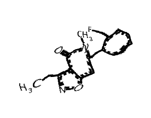 CCc1noc2cc(-c3ccccc3F)n(C)c(=O)c12